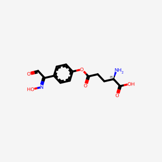 N[C@H](CCC(=O)Oc1ccc(C([C]=O)=NO)cc1)C(=O)O